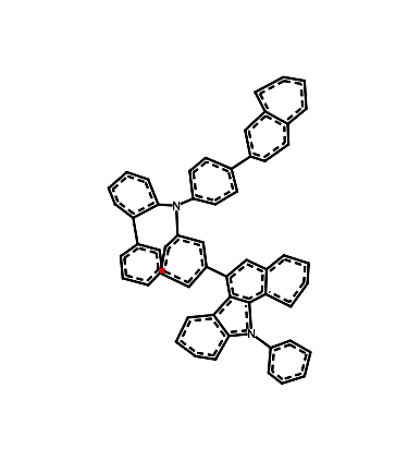 c1ccc(-c2ccccc2N(c2ccc(-c3ccc4ccccc4c3)cc2)c2cccc(-c3cc4ccccc4c4c3c3ccccc3n4-c3ccccc3)c2)cc1